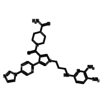 NC(=O)C1CCN(C(=O)c2cn(CCCNc3ccc([N+](=O)[O-])c(N)n3)cc2-c2ccc(-n3ccnc3)cc2)CC1